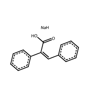 O=C(O)C(=Cc1ccccc1)c1ccccc1.[NaH]